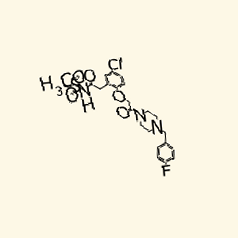 CS(=O)(=O)NC(=O)Cc1cc(Cl)ccc1OCC(=O)N1CCN(Cc2ccc(F)cc2)CC1